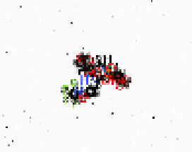 CC(C)CN(C[C@H](O)[C@H](Cc1ccc(Oc2nc(F)c(F)c(F)c2F)cc1)NC(=O)O[C@H]1CO[C@H]2OCC[C@H]21)S(=O)(=O)c1ccc2c(c1)OCO2